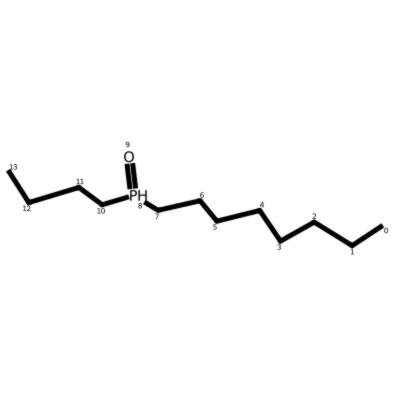 CCCCCCCC[PH](=O)CCCC